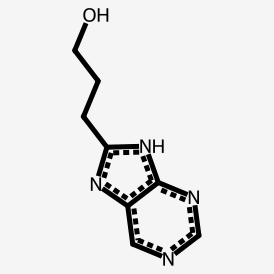 OCCCc1nc2cncnc2[nH]1